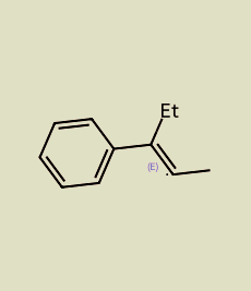 C/[C]=C(\CC)c1ccccc1